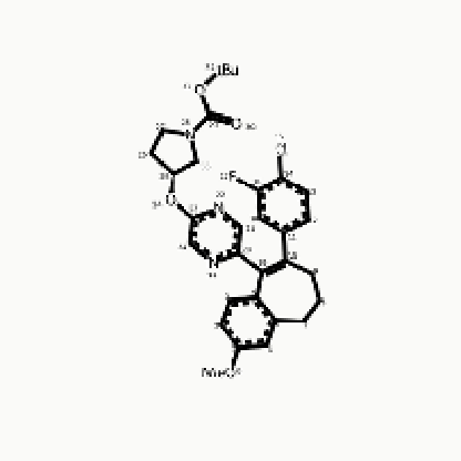 COc1ccc2c(c1)CCCC(c1ccc(Cl)c(F)c1)=C2c1cnc(O[C@H]2CCN(C(=O)OC(C)(C)C)C2)cn1